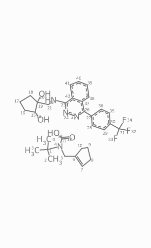 CC(C)(C)N(CC1=CCCC1)C(=O)O.OC1CCCC1(O)CNc1nnc(-c2ccc(C(F)(F)F)cc2)c2ccccc12